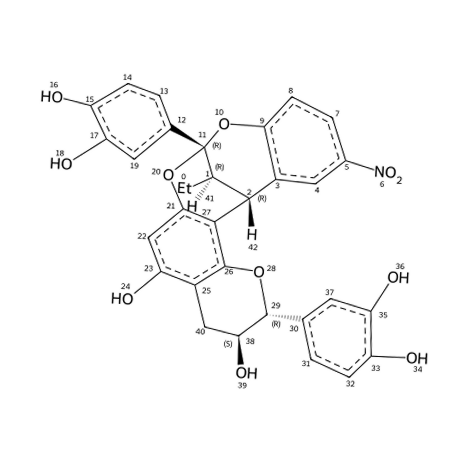 CC[C@@H]1[C@@H]2c3cc([N+](=O)[O-])ccc3O[C@@]1(c1ccc(O)c(O)c1)Oc1cc(O)c3c(c12)O[C@H](c1ccc(O)c(O)c1)[C@@H](O)C3